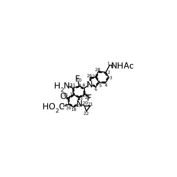 CC(=O)NCc1ccc2cn(-c3c(F)c(N)c4c(=O)c(C(=O)O)cn(C5CC5)c4c3F)cc2c1